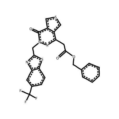 O=C(Cc1nn(Cc2nc3cc(C(F)(F)F)ccc3s2)c(=O)c2cscc12)OCc1ccccc1